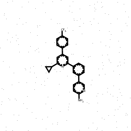 Nc1ccc(-c2cccc(-c3cc(-c4ccc(C(F)(F)F)cc4)cc(C4CC4)n3)c2)cn1